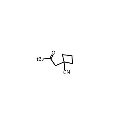 CC(C)(C)C(=O)CC1(C#N)CCC1